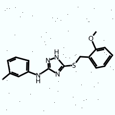 COc1ccccc1CSc1nc(Nc2cccc(C)c2)n[nH]1